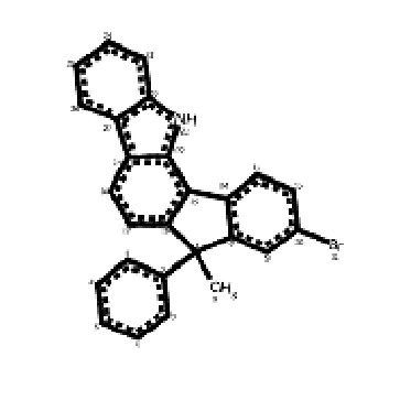 CC1(c2ccccc2)c2cc(Br)ccc2-c2c1ccc1c2[nH]c2ccccc21